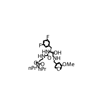 CCCN(CCC)S(=O)(=O)CCNC(=O)N[C@@H](Cc1cc(F)cc(F)c1)[C@H](O)CNCc1cccc(OC)c1